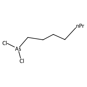 CCCCCCC[As](Cl)Cl